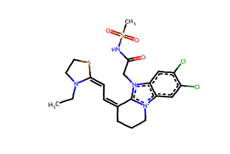 CCN1CCS/C1=C/C=C1/CCC[n+]2c1n(CC(=O)NS(C)(=O)=O)c1cc(Cl)c(Cl)cc12